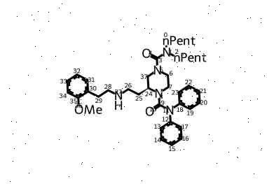 CCCCCN(CCCCC)C(=O)N1CCN(C(=O)N(c2ccccc2)c2ccccc2)[C@@H](CCNCCc2ccccc2OC)C1